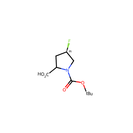 CC(C)(C)OC(=O)N1C[C@H](F)CC1C(=O)O